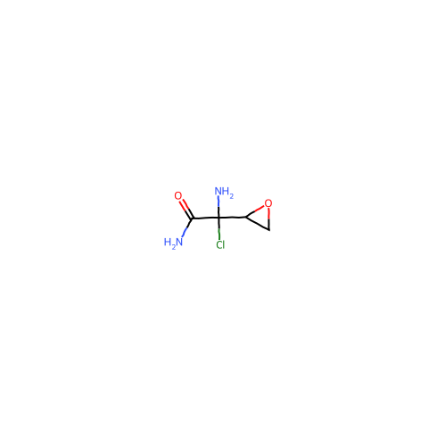 NC(=O)C(N)(Cl)C1CO1